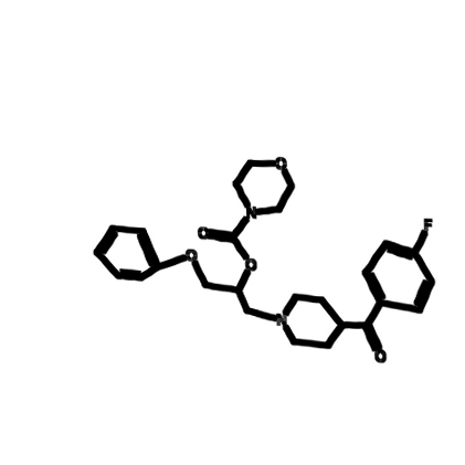 O=C(c1ccc(F)cc1)C1CCN(CC(COc2ccccc2)OC(=O)N2CCOCC2)CC1